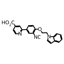 [C-]#[N+]c1cc(-c2cc(C(=O)O)ccn2)ccc1OCCn1ccc2ccccc21